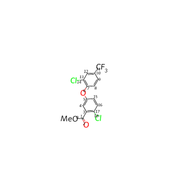 COC(=O)c1cc(Oc2ccc(C(F)(F)F)cc2Cl)ccc1Cl